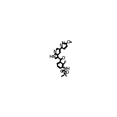 COc1ccc(-c2cnc3[nH]cc(C(=O)c4cccc(NS(=O)(=O)N(C)C)c4F)c3c2)nn1